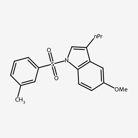 CCCc1cn(S(=O)(=O)c2cccc(C)c2)c2ccc(OC)cc12